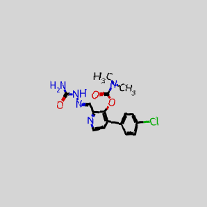 CN(C)C(=O)Oc1c(-c2ccc(Cl)cc2)ccnc1C=NNC(N)=O